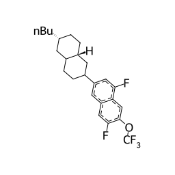 CCCC[C@@H]1CC[C@@H]2CC(c3cc(F)c4cc(OC(F)(F)F)c(F)cc4c3)CCC2C1